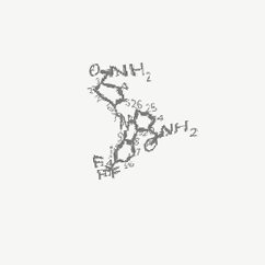 NC(=O)c1ccc(Cn2c3cc(C(F)(F)F)c[c]c3c3c(C(N)=O)cccc32)cc1